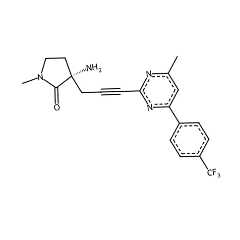 Cc1cc(-c2ccc(C(F)(F)F)cc2)nc(C#CC[C@]2(N)CCN(C)C2=O)n1